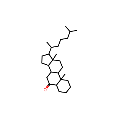 CC(C)CCCC(C)C1CCC2C3CC(=O)C4CCCCC4(C)C3CCC12C